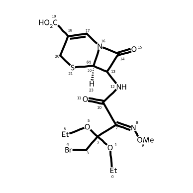 CCOC(CBr)(OCC)C(=NOC)C(=O)NC1C(=O)N2C=C(C(=O)O)CS[C@H]12